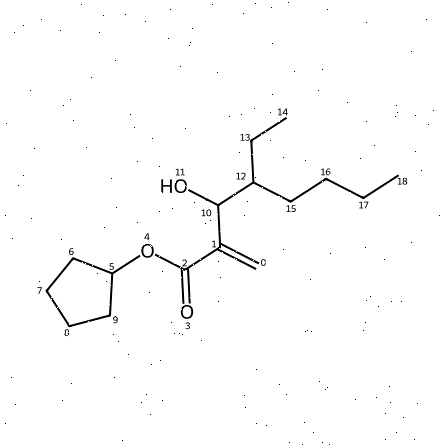 C=C(C(=O)OC1CCCC1)C(O)C(CC)CCCC